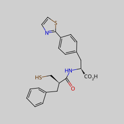 O=C(N[C@@H](Cc1ccc(-c2nccs2)cc1)C(=O)O)[C@H](CS)Cc1ccccc1